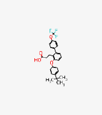 CC(C)(C)c1ccc(Oc2cccc(-c3ccc(OC(F)(F)F)cc3)c2CCC(=O)O)cc1